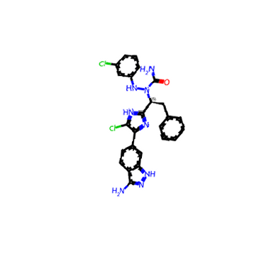 NC(=O)N(Nc1cccc(Cl)c1)[C@@H](Cc1ccccc1)c1nc(-c2ccc3c(N)n[nH]c3c2)c(Cl)[nH]1